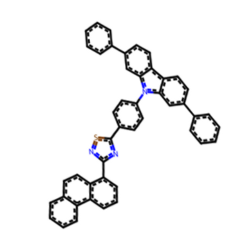 c1ccc(-c2ccc3c4ccc(-c5ccccc5)cc4n(-c4ccc(-c5nc(-c6cccc7c6ccc6ccccc67)ns5)cc4)c3c2)cc1